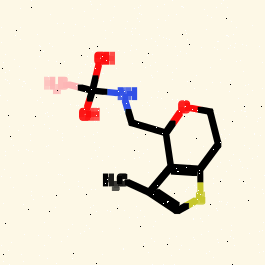 BC(O)(O)NCC1OCCc2scc(C)c21